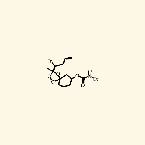 C=CCC(CC)C1(C)OOC2(CCCC(OC(=O)NCC)C2)O1